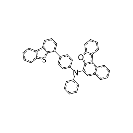 c1ccc(N(c2ccc(-c3cccc4c3sc3ccccc34)cc2)c2cc3ccccc3c3c2oc2ccccc23)cc1